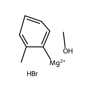 Br.CO.Cc1cccc[c]1[Mg+2]